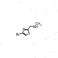 CNCc1nc(Br)cs1